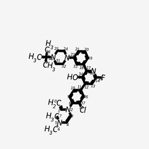 C=CN(/C=C\N(C)C)c1ccc(-c2cc(F)nc(-c3cccc(N4CCN(C(C)(C)C)CC4)c3)c2O)cc1Cl